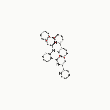 c1ccc(N(c2ccccc2-c2cccc(-c3ccccn3)n2)c2ccccc2-c2cccc(-c3ccccn3)n2)cc1